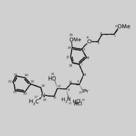 COCCCOc1cc(C[C@@H](C[C@H](N)[C@@H](O)CN(C)Cc2ccccc2)C(C)C)ccc1OC.Cl.Cl